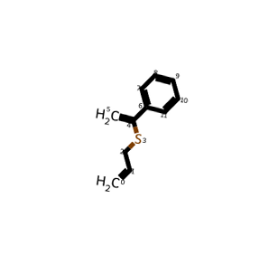 C=CCSC(=C)c1ccccc1